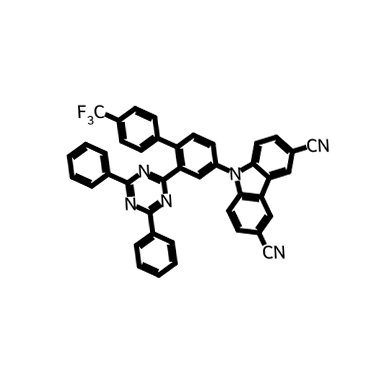 N#Cc1ccc2c(c1)c1cc(C#N)ccc1n2-c1ccc(-c2ccc(C(F)(F)F)cc2)c(-c2nc(-c3ccccc3)nc(-c3ccccc3)n2)c1